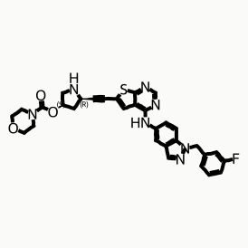 O=C(O[C@@H]1CN[C@@H](C#Cc2cc3c(Nc4ccc5c(cnn5Cc5cccc(F)c5)c4)ncnc3s2)C1)N1CCOCC1